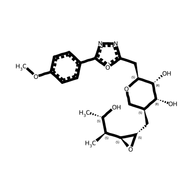 COc1ccc(-c2nnc(C[C@@H]3OC[C@H](C[C@@H]4O[C@H]4[C@@H](C)[C@H](C)O)[C@@H](O)[C@H]3O)o2)cc1